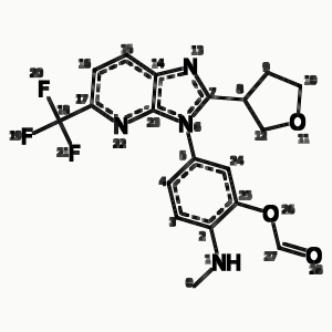 CNc1ccc(-n2c(C3CCOC3)nc3ccc(C(F)(F)F)nc32)cc1OC=O